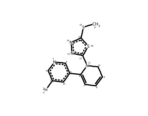 [2H]c1cncc(C2=CC=CCN2c2nnc(SC)s2)c1